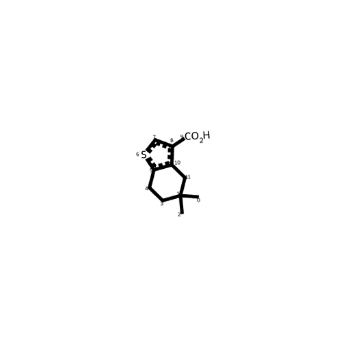 CC1(C)CCc2scc(C(=O)O)c2C1